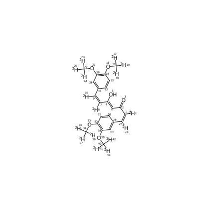 [2H]C(C(=O)C=C(O)C([2H])=C([2H])c1ccc(OC([2H])([2H])[2H])c(OC([2H])([2H])[2H])c1)=C([2H])c1ccc(OC([2H])([2H])[2H])c(OC([2H])([2H])[2H])c1